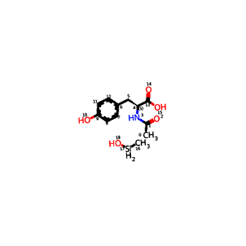 CC(=O)N[C@@H](Cc1ccc(O)cc1)C(=O)O.C[SiH2]O